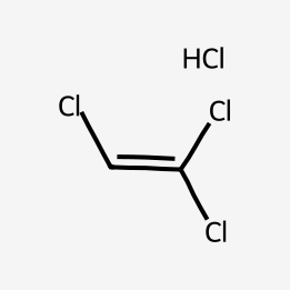 Cl.ClC=C(Cl)Cl